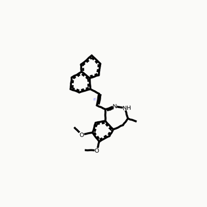 COc1cc2c(cc1OC)C(/C=C/c1cccc3ccccc13)=NNC(C)C2